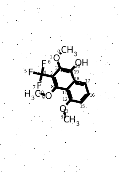 COc1c(C(F)(F)F)c(OC)c2c(OC)cccc2c1O